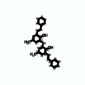 Cc1cc(C=Cc2ccccc2)c(O)c(Sc2cc(C)cc(C=Cc3ccccc3)c2O)c1